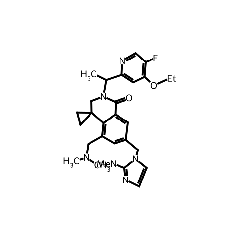 CCOc1cc(C(C)N2CC3(CC3)c3c(CN(C)C)cc(Cn4ccnc4NC)cc3C2=O)ncc1F